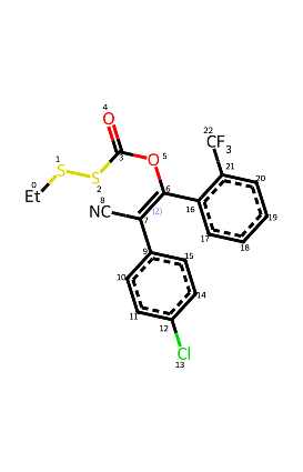 CCSSC(=O)O/C(=C(\C#N)c1ccc(Cl)cc1)c1ccccc1C(F)(F)F